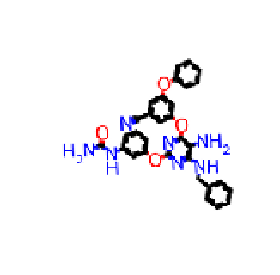 N#Cc1cc(Oc2ccccc2)cc(Oc2nc(Oc3cccc(NC(N)=O)c3)nc(NCc3ccccc3)c2N)c1